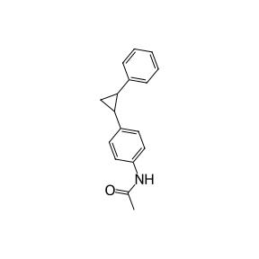 CC(=O)Nc1ccc(C2CC2c2ccccc2)cc1